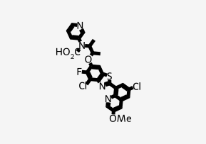 COc1cnc2c(-c3nc4c(Cl)c(F)c(OC(C)C(C)N(C(=O)O)c5cccnc5)cc4s3)cc(Cl)cc2c1